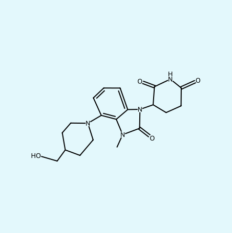 Cn1c(=O)n(C2CCC(=O)NC2=O)c2cccc(N3CCC(CO)CC3)c21